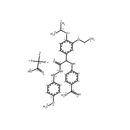 CCOc1cc(C(Nc2ccc(C(=N)N)cc2)C(=O)NNc2ccc(OC)cc2)ccc1OC(C)C.O=C(O)C(F)(F)F